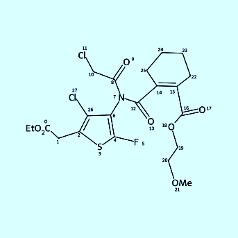 CCOC(=O)Cc1sc(F)c(N(C(=O)CCl)C(=O)C2=C(C(=O)OCCOC)CCCC2)c1Cl